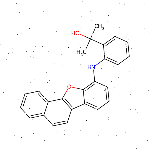 CC(C)(O)c1ccccc1Nc1cccc2c1oc1c3ccccc3ccc21